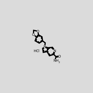 Cl.NC(=O)c1cc2ccn(Cc3ccc4c(c3)OCO4)c2cn1